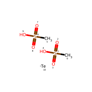 CS(=O)(=O)O.CS(=O)(=O)O.[Te]